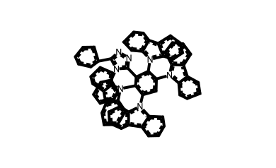 c1ccc(-c2nnc(-c3c(-n4c5ccccc5c5ccccc54)c(-n4c5ccccc5c5ccccc54)cc(-n4c5ccccc5c5ccccc54)c3-n3c4ccccc4c4ccccc43)n2-c2ccccc2)cc1